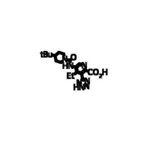 CCc1c(NC(=O)N2CCC(C(C)(C)C)CC2)cnc(C(=O)O)c1-c1nn[nH]n1